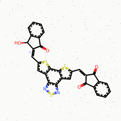 O=C1C(=Cc2cc3c4nsnc4c4cc(/C=C5\C(=O)c6ccccc6C5O)sc4c3s2)C(=O)c2ccccc21